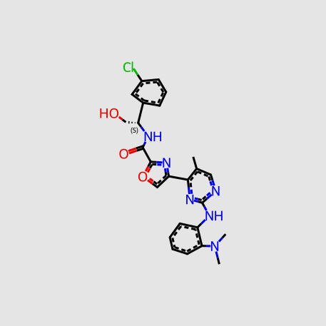 Cc1cnc(Nc2ccccc2N(C)C)nc1-c1coc(C(=O)N[C@H](CO)c2cccc(Cl)c2)n1